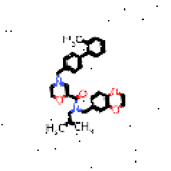 Cc1ccccc1-c1ccc(CN2CCOC(C(=O)N(Cc3ccc4c(c3)OCCO4)CC(C)C)C2)cc1